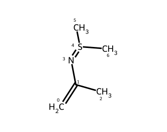 C=C(C)N=S(C)C